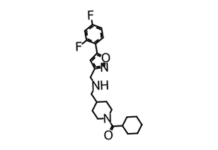 O=C(C1CCCCC1)N1CCC(CNCc2cc(-c3ccc(F)cc3F)on2)CC1